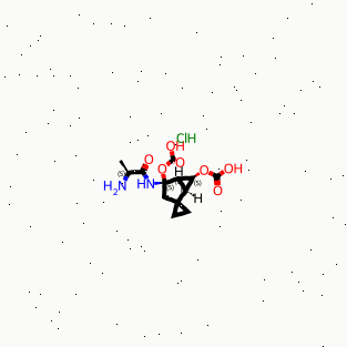 C[C@H](N)C(=O)N[C@]1(OC(=O)O)CC2(CC2)[C@@H]2[C@H](OC(=O)O)[C@H]21.Cl